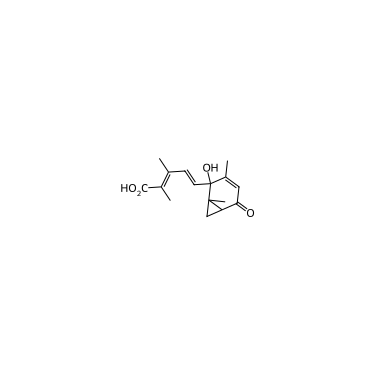 CC1=CC(=O)C2CC2(C)C1(O)C=CC(C)=C(C)C(=O)O